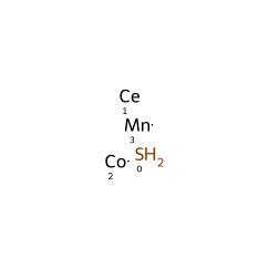 S.[Ce].[Co].[Mn]